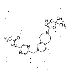 CC(=O)Nc1cnc(Cc2ccc3c(c2)CCN(C(=O)OC(C)(C)C)CC3)cn1